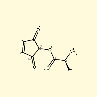 C[C@H](N)C(=O)ON1C(=O)C=CC1=O